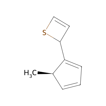 C[C@@H]1C=CC=C1C1C=CS1